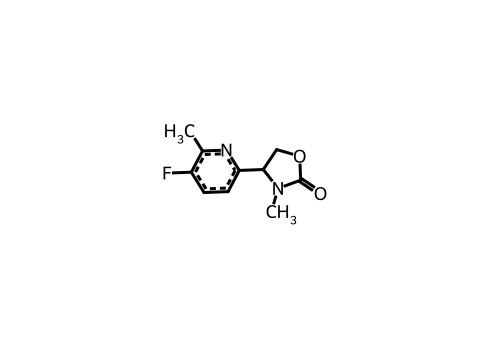 Cc1nc(C2COC(=O)N2C)ccc1F